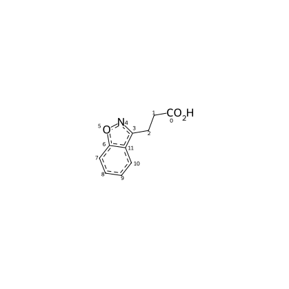 O=C(O)CCc1noc2ccccc12